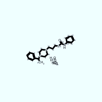 CC(c1ccccc1)N1CCN(CCCSC(=O)Nc2ccccc2)CC1.Cl.Cl.O.O